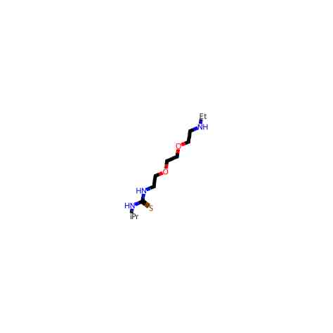 CCNCCOCCOCCNC(=S)NC(C)C